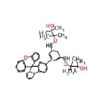 CC(C)(O)C(C)(C)OBC1=CC(c2ccc3c(c2)C2(c4ccccc4Oc4ccccc42)C2C=CC=CC32)=CC(BOC(C)(C)C(C)(C)O)C1